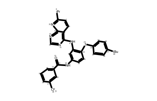 CC(C)c1ccc2c(Nc3cc(NC(=O)c4cccc(C(F)(F)F)c4)ccc3Sc3ccc(C(C)(C)C)cc3)ncnc2n1